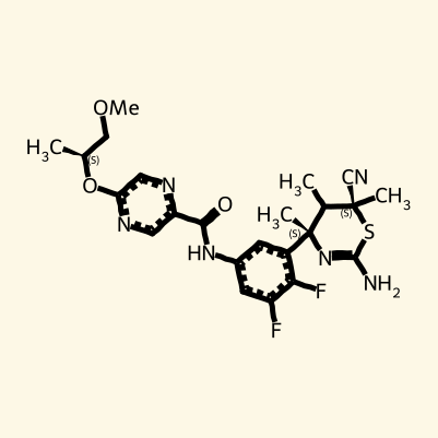 COC[C@H](C)Oc1cnc(C(=O)Nc2cc(F)c(F)c([C@@]3(C)N=C(N)S[C@](C)(C#N)C3C)c2)cn1